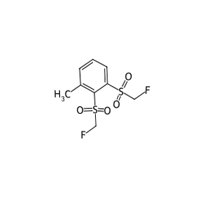 Cc1cccc(S(=O)(=O)CF)c1S(=O)(=O)CF